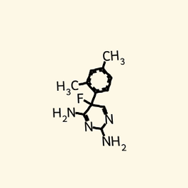 Cc1ccc(C2(F)C=NC(N)N=C2N)c(C)c1